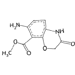 COC(=O)c1c(N)ccc2c1OCC(=O)N2